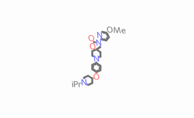 COc1ccc(N2CC3(CCN(c4ccc(OC5CCN(C(C)C)CC5)cc4)CC3)OC2=O)nc1